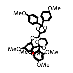 COc1ccc(C2(c3ccc(OC)cc3)OCC(COc3cc(OC)cc(OC)c3C3(c4c(OC)cc(OC)cc4OC)OCCCO3)O2)cc1